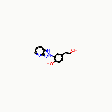 OCCc1ccc(O)c(-n2nc3cccnc3n2)c1